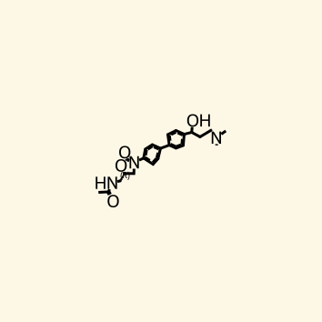 CC(=O)NC[C@@H]1CN(c2ccc(-c3ccc(C(O)CCN(C)C)cc3)cc2)C(=O)O1